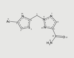 CC(=O)c1csc(Cn2ncc(C(N)=O)n2)n1